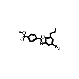 CCCc1cc(C#N)cc2nc(-c3ccc(C(=O)OC)cc3)oc12